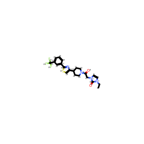 CCn1ccn(CC(=O)N2CCC(c3csc(-c4cccc(C(F)(F)F)c4)n3)CC2)c1=O